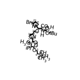 CC(C)[C@@H](C(=O)OCC[Si](C)(C)C)N(C)C(=O)c1nc(CO[C@H](c2nc(Br)cs2)[C@H](NC(=O)OC(C)(C)C)C(=O)O)cs1